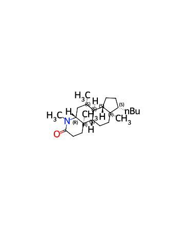 CCCC[C@H]1CC[C@H]2[C@@H]3[C@@H](C)C[C@H]4N(C)C(=O)CC[C@]4(C)[C@H]3CC[C@]12C